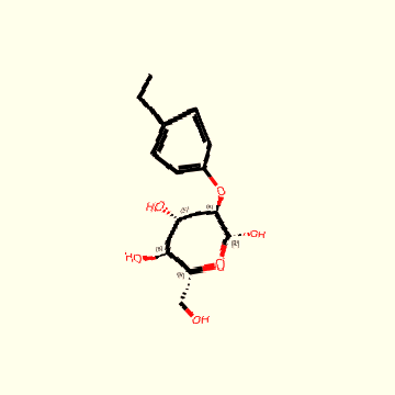 CCc1ccc(O[C@@H]2[C@@H](O)[C@H](O)[C@@H](CO)O[C@H]2O)cc1